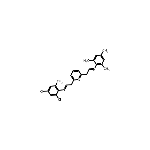 Cc1cc(C)c(N=CCc2cccc(CC=Nc3c(C)cc(Cl)cc3Cl)n2)c(C)c1